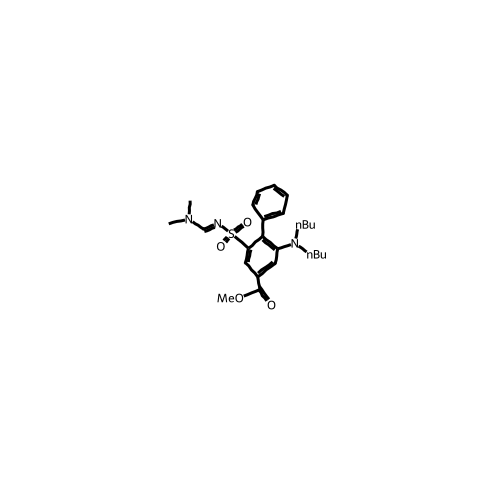 CCCCN(CCCC)c1cc(C(=O)OC)cc(S(=O)(=O)/N=C/N(C)C)c1-c1ccccc1